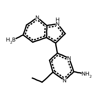 Bc1cnc2[nH]cc(-c3cc(CC)nc(N)n3)c2c1